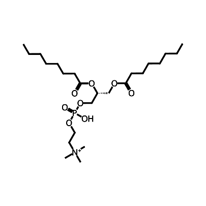 CCCCCCCC(=O)OC[C@H](COP(=O)(O)OCC[N+](C)(C)C)OC(=O)CCCCCCC